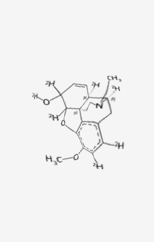 [2H]OC1([2H])C=C[C@@]2([2H])[C@@]3([2H])Cc4c([2H])c([2H])c(OC)c5c4[C@@]2(CCN3C)C1([2H])O5